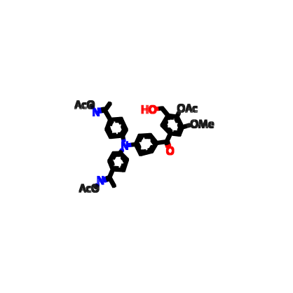 COc1cc(C(=O)c2ccc(N(c3ccc(/C(C)=N/OC(C)=O)cc3)c3ccc(/C(C)=N/OC(C)=O)cc3)cc2)cc(CO)c1OC(C)=O